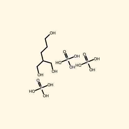 O=P(O)(O)O.O=P(O)(O)O.O=P(O)(O)O.OCCCC(CO)CO